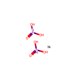 O=[PH](O)O.O=[PH](O)O.[Ni]